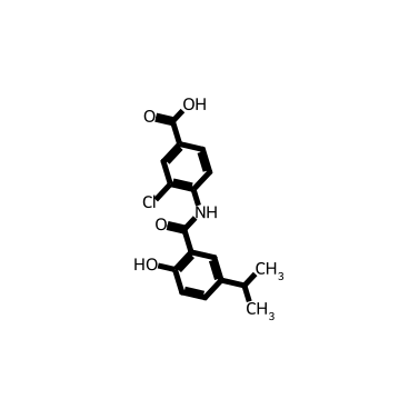 CC(C)c1ccc(O)c(C(=O)Nc2ccc(C(=O)O)cc2Cl)c1